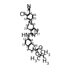 CC(C)(C)OC(=O)N1CCc2ccc(Nc3ncnc4c3CCN(c3ccc(C#N)c(Cl)c3)C4)cc2C1